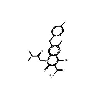 Cc1nc2c(O)c(C(N)=O)c(=O)n(CC(=O)N(C)C)c2cc1Cc1ccc(F)cc1